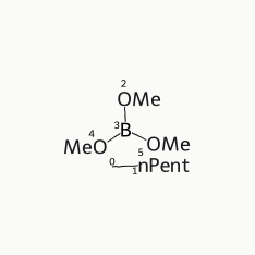 CCCCCC.COB(OC)OC